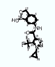 O=C(Nc1ccc2c(c1)B(O)OC2)c1nnn(C2CC2)c1C(F)(F)F